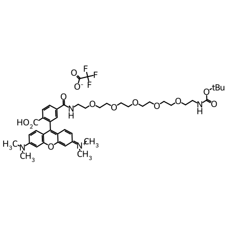 CN(C)c1ccc2c(-c3cc(C(=O)NCCOCCOCCOCCOCCOCCNC(=O)OC(C)(C)C)ccc3C(=O)O)c3ccc(=[N+](C)C)cc-3oc2c1.O=C([O-])C(F)(F)F